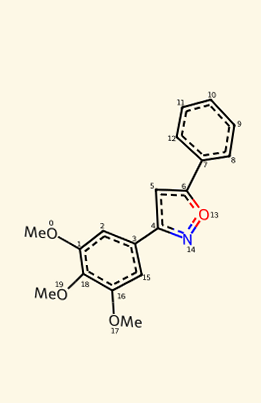 COc1cc(-c2cc(-c3ccccc3)on2)cc(OC)c1OC